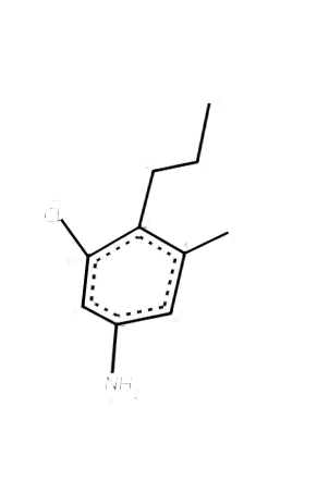 CCCc1c(C)cc(N)cc1Cl